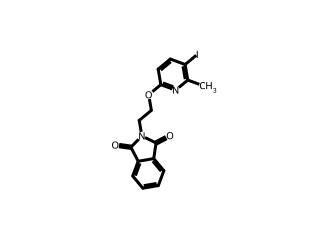 Cc1nc(OCCN2C(=O)c3ccccc3C2=O)ccc1I